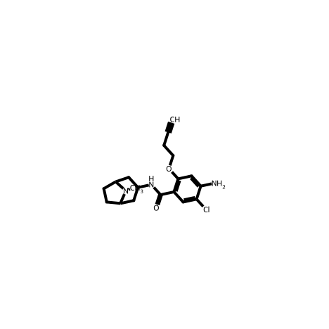 C#CCCOc1cc(N)c(Cl)cc1C(=O)NC1CC2CCC(C1)N2C